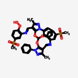 Cc1nn(-c2ccccc2)c(OC2Oc3ccc(S(C)(=O)=O)cc3/N=C/c3c(C)nn(-c4ccccc4)c3O2)c1/C=N/c1cc(S(C)(=O)=O)ccc1OO